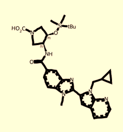 Cn1c(-c2cc3cccnc3n2CC2CC2)nc2cc(C(=O)N[C@H]3CN(C(=O)O)C[C@H]3O[Si](C)(C)C(C)(C)C)ccc21